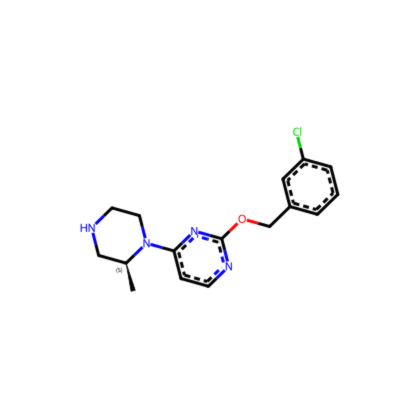 C[C@H]1CNCCN1c1ccnc(OCc2cccc(Cl)c2)n1